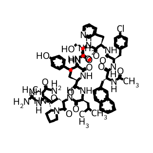 CC(=O)N[C@H](Cc1ccc2ccccc2c1)C(=O)N[C@H](Cc1ccc(Cl)cc1)C(=O)N[C@H](Cc1cccnc1)C(=O)N[C@@H](CO)C(=O)N[C@@H](Cc1ccc(O)cc1)C(=O)N[C@H](CCCNC(N)=O)C(=O)N[C@@H](CC(C)C)C(=O)N[C@@H](CCCNC(=N)N)C(=O)N1CCC[C@@H]1C(=O)N[C@H](C)C(N)=O